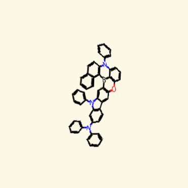 c1ccc(N(c2ccccc2)c2ccc3c4cc5c(cc4n(-c4ccccc4)c3c2)B2c3c(cccc3N(c3ccccc3)c3ccc4ccccc4c32)O5)cc1